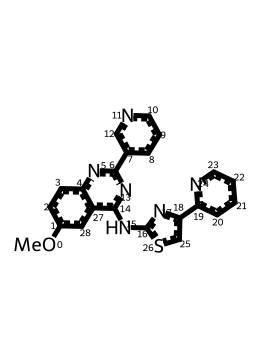 COc1ccc2nc(-c3cccnc3)nc(Nc3nc(-c4ccccn4)cs3)c2c1